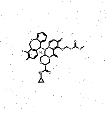 COC(=O)OCOc1c2n(ccc1=O)N([C@@H]1c3ccccc3SCc3c1ccc(F)c3F)[C@@H]1COC(C(=O)NC3CC3)CN1C2=O